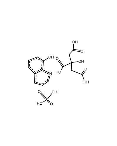 O=C(O)CC(O)(CC(=O)O)C(=O)O.O=S(=O)(O)O.Oc1cccc2cccnc12